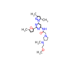 COCCN(C)[C@H]1CCN(CC(=O)Nc2cc(-n3nc(C)cc3C)nc(-c3ccc(C)o3)n2)C1